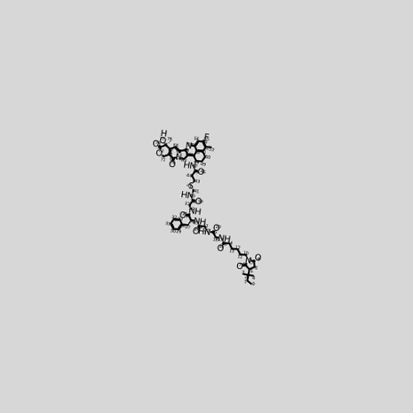 CCC(C)(C)C1CC(=O)N(CCCCCC(=O)NCC(=O)NCC(=O)N[C@@H](Cc2ccccc2)C(=O)NCC(=O)NCSCCC(=O)N[C@H]2CCc3c(C)c(F)cc4nc5c(c2c34)Cn2c-5cc3c(c2=O)COC(=O)[C@@]3(C)O)C1=O